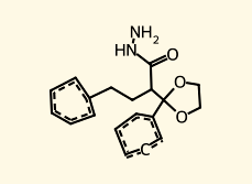 NNC(=O)C(CCc1ccccc1)C1(c2ccccc2)OCCO1